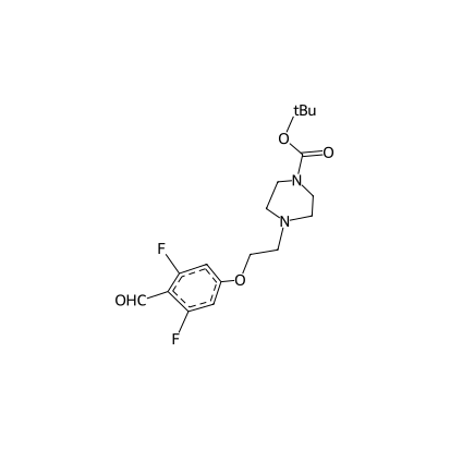 CC(C)(C)OC(=O)N1CCN(CCOc2cc(F)c(C=O)c(F)c2)CC1